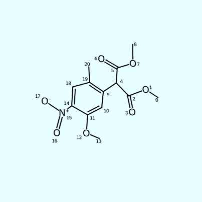 COC(=O)C(C(=O)OC)c1cc(OC)c([N+](=O)[O-])cc1C